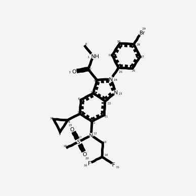 CNC(=O)c1c2cc(C3CC3)c(N(CC(F)F)S(C)(=O)=O)cc2nn1-c1ccc(Br)cc1